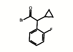 O=C(Br)C(c1ccccc1F)C1CC1